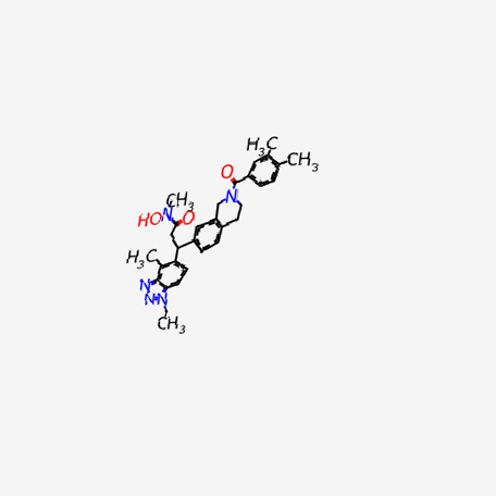 CCn1nnc2c(C)c(C(CC(=O)N(C)O)c3ccc4c(c3)CN(C(=O)c3ccc(C)c(C)c3)CC4)ccc21